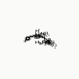 CN(C)[C@@H](CCCCNC(=O)[C@H](CN)NC(=O)CCCc1ccc(I)cc1)C(=O)[N+](C)(C)N